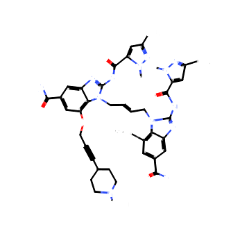 CCn1nc(C)cc1C(=O)Nc1nc2cc(C(N)=O)cc(OC)c2n1CC=CCn1c(NC(=O)c2cc(C)nn2CC)nc2cc(C(N)=O)cc(OCC#CC3CCN(C(=O)O)CC3)c21.Cl